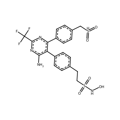 Nc1nc(C(F)(F)F)nc(-c2ccc(C[SH](=O)=O)cc2)c1-c1ccc(CCS(=O)(=O)NO)cc1